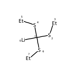 [Li][C](SCC)(SCC)SCC